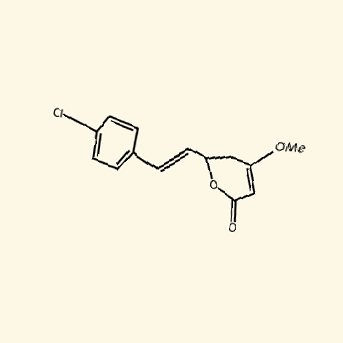 COC1=CC(=O)OC(/C=C/c2ccc(Cl)cc2)C1